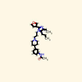 C=C/C=c1\c(=C/C)nc(-c2ccoc2)n1CCCN1CCC(c2cccc(NC(C)=O)c2)CC1